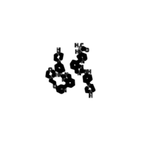 CC(=O)Nc1ccnc(-c2cccc3cnc(Nc4ccc(N5CCNCC5)cc4)nc23)c1.c1cc(-c2cc(OCCN3CCOCC3)ccn2)c2nc(Nc3ccc(N4CCNCC4)cc3)ncc2c1